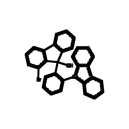 OC1(c2ccccc2-n2c3ccccc3c3ccccc32)c2ccccc2-c2cccc(Br)c21